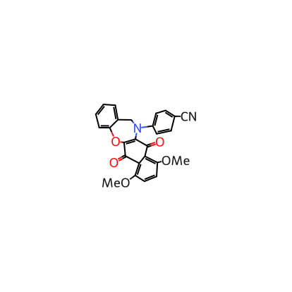 COc1ccc(OC)c2c1C(=O)C1=C(C2=O)N(c2ccc(C#N)cc2)Cc2ccccc2O1